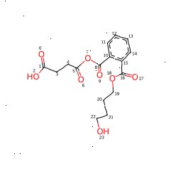 O=C(O)CCC(=O)OC(=O)c1ccccc1C(=O)OCCCCO